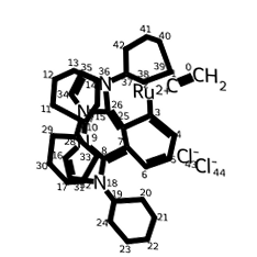 C=[C]=[Ru+2][c]1cccc(=C2N(C3CCCCC3)C=CN2C2CCCCC2)c1=C1N(C2CCCCC2)C=CN1C1CCCCC1.[Cl-].[Cl-]